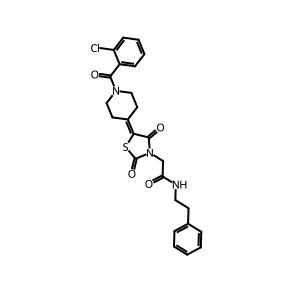 O=C(CN1C(=O)SC(=C2CCN(C(=O)c3ccccc3Cl)CC2)C1=O)NCCc1ccccc1